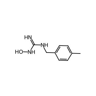 Cc1ccc(CNC(=N)NO)cc1